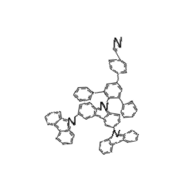 N#Cc1ccc(-c2cc(-c3ccccc3)c(-n3c4ccc(-n5c6ccccc6c6ccccc65)cc4c4cc(-n5c6ccccc6c6ccccc65)ccc43)c(-c3ccccc3)c2)cc1